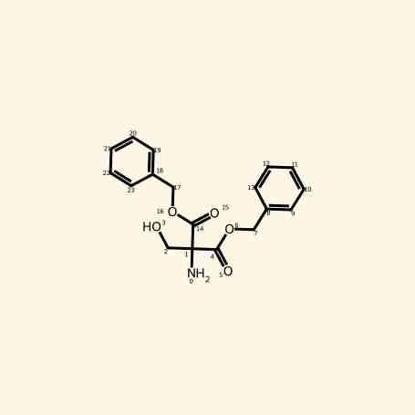 NC(CO)(C(=O)OCc1ccccc1)C(=O)OCc1ccccc1